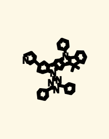 CC1(C)c2ccccc2-c2c1c1cc3c(cc1n2-c1ccccc1)c1cc(-c2cccnc2)ccc1n3-c1nc(-c2ccccc2)nc(-c2ccccc2)n1